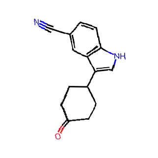 N#Cc1ccc2[nH]cc(C3CCC(=O)CC3)c2c1